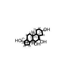 C[C@]12CC[C@H]3[C@@H]([C@@H](O)C(O)=C4C[C@@H](O)CC[C@@]43C)[C@@H]1CC[C@@H]2O